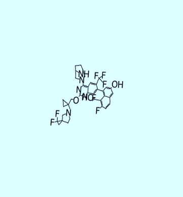 C#Cc1c(F)ccc2cc(O)cc(-c3c(C(F)(F)F)cc4c(N5CC6CCC(C5)N6)nc(OCC5(CN6CCC7(C6)CC7(F)F)CC5)nc4c3F)c12